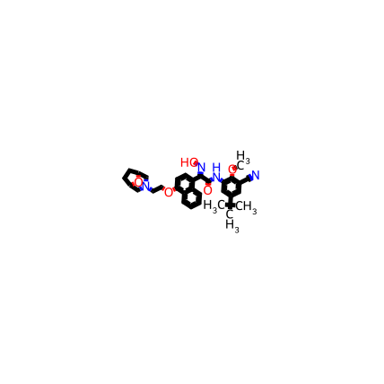 COc1c(C#N)cc(C(C)(C)C)cc1NC(=O)/C(=N/O)c1ccc(OCCN2CC3CCC(C2)O3)c2ccccc12